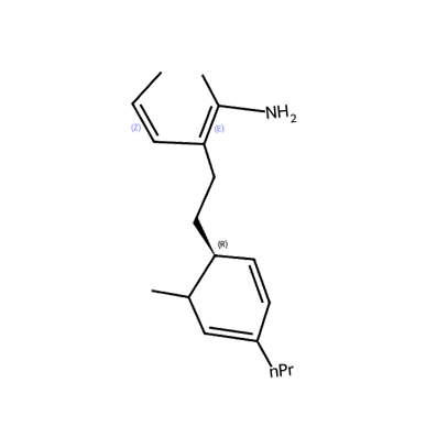 C/C=C\C(CC[C@H]1C=CC(CCC)=CC1C)=C(/C)N